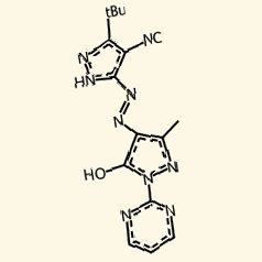 [C-]#[N+]c1c(C(C)(C)C)n[nH]c1/N=N/c1c(C)nn(-c2ncccn2)c1O